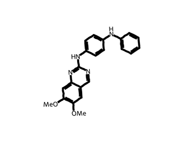 COc1cc2cnc(Nc3ccc(Nc4ccccc4)cc3)nc2cc1OC